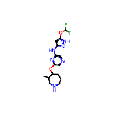 CC1CNCCCC1Oc1cncc(Nc2cc(OC(F)F)[nH]n2)n1